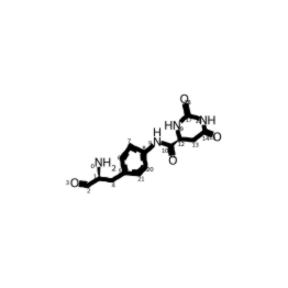 N[C@H](C=O)Cc1ccc(NC(=O)[C@@H]2CC(=O)NC(=O)N2)cc1